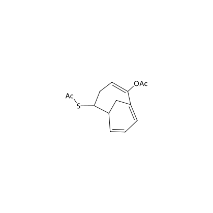 CC(=O)OC1=CCC(SC(C)=O)C2C=CC=C1C2